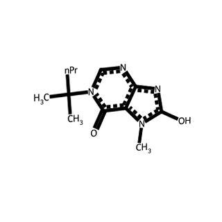 CCCC(C)(C)n1cnc2nc(O)n(C)c2c1=O